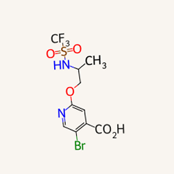 CC(COc1cc(C(=O)O)c(Br)cn1)NS(=O)(=O)C(F)(F)F